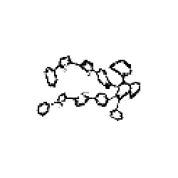 c1ccc(-c2ccc(-c3ccc(-c4ccc(-c5c(-c6ccc(-c7ccc(-c8ccc(-c9ccccc9)s8)s7)cc6)c(-c6ccccc6)c6ccccc6c5-c5ccccc5)cc4)s3)s2)cc1